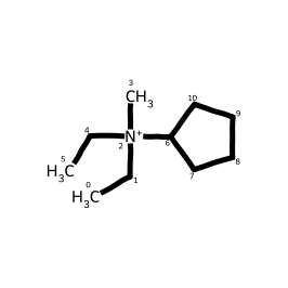 CC[N+](C)(CC)C1CCCC1